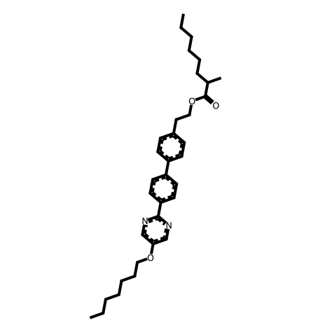 CCCCCCCOc1cnc(-c2ccc(-c3ccc(CCOC(=O)C(C)CCCCCC)cc3)cc2)nc1